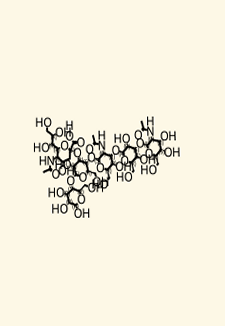 CC(=O)N[C@H]1[C@H](O[C@H]2[C@@H](O)[C@@H](CO)O[C@@H](O[C@H]3[C@@H](O)[C@@H](CO)O[C@@H](O[C@@H]4[C@H](O[C@]5(C(=O)O)C[C@H](O)[C@@H](NC(C)=O)[C@H]([C@H](O)[C@H](O)CO)O5)[C@@H](O)[C@H](O[C@H]5[C@H](O)[C@@H](O)[C@H](O)O[C@@H]5CO)O[C@@H]4CO)[C@@H]3NC(C)=O)[C@@H]2O)O[C@H](CO)[C@@H](O)[C@@H]1O